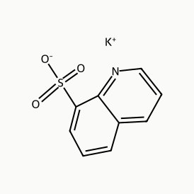 O=S(=O)([O-])c1cccc2cccnc12.[K+]